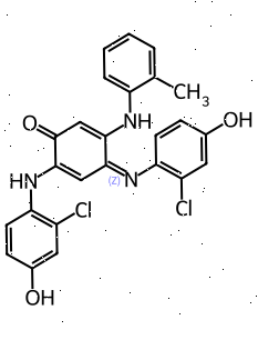 Cc1ccccc1NC1=CC(=O)C(Nc2ccc(O)cc2Cl)=C/C1=N/c1ccc(O)cc1Cl